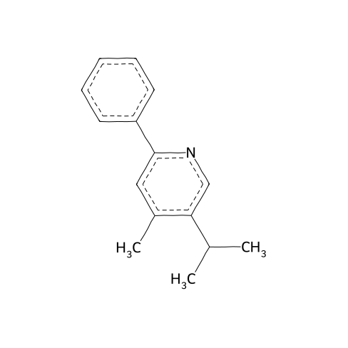 Cc1cc(-c2ccccc2)ncc1C(C)C